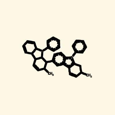 CC1C=Cc2c(n(-c3ccccc3)c3ccc(C4C(C)C=CC5C6C=CC=CC6N(c6ccccc6)C54)cc23)C1